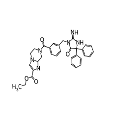 CCOC(=O)c1cn2c(n1)CN(C(=O)c1cccc(CN3C(=N)NC(c4ccccc4)(c4ccccc4)C3=O)c1)CC2